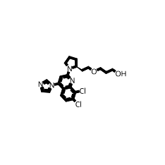 OCCCOCC[C@@H]1CCCN1c1cc(-n2ccnc2)c2ccc(Cl)c(Cl)c2n1